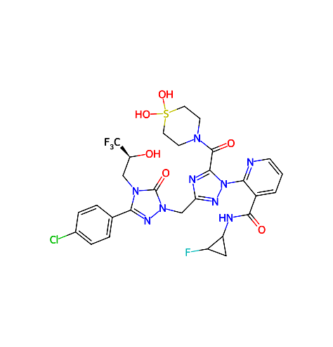 O=C(NC1CC1F)c1cccnc1-n1nc(Cn2nc(-c3ccc(Cl)cc3)n(C[C@H](O)C(F)(F)F)c2=O)nc1C(=O)N1CCS(O)(O)CC1